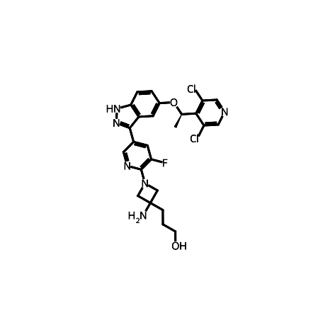 C[C@@H](Oc1ccc2[nH]nc(-c3cnc(N4CC(N)(CCCO)C4)c(F)c3)c2c1)c1c(Cl)cncc1Cl